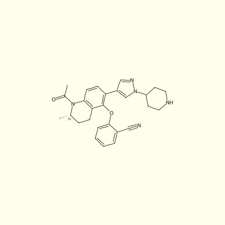 CC(=O)N1c2ccc(-c3cnn(C4CCNCC4)c3)c(Oc3ccccc3C#N)c2CC[C@@H]1C